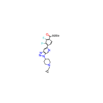 CNC(=O)c1ccc(-c2cc3nnn(C4CCN(CC5CC5)CC4)c3cn2)c(F)c1F